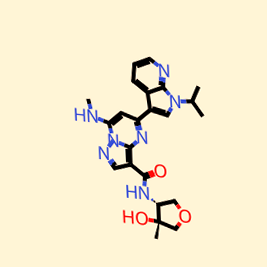 CNc1cc(-c2cn(C(C)C)c3ncccc23)nc2c(C(=O)N[C@@H]3COC[C@]3(C)O)cnn12